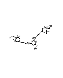 CC(C)Oc1nc(NCCCCC2CC(C)(C)N(CC#N)C(C)(C)C2)nc(NCCCCC2CC(C)(C)N(CC#N)C(C)(C)C2)n1